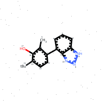 Cc1c(-c2cccc3[nH]nnc23)ccc(C(C)(C)C)c1O